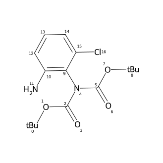 CC(C)(C)OC(=O)N(C(=O)OC(C)(C)C)c1c(N)cccc1Cl